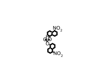 O=[N+]([O-])c1cccc2c(O[PH](=O)Oc3cccc4c([N+](=O)[O-])cccc34)cccc12